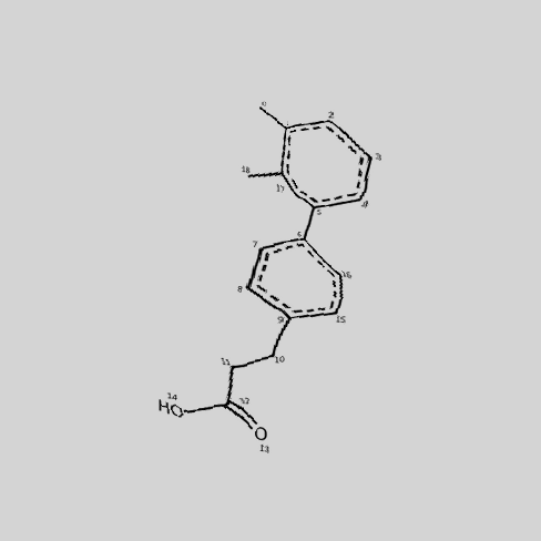 Cc1cccc(-c2ccc(CCC(=O)O)cc2)c1C